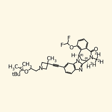 [2H]C([2H])([2H])N1C(=O)c2cccc(OC(F)F)c2[C@H]2C[C@@H]1c1nc3ccc(C#CC4(C)CN(CCO[Si](C)(C)C(C)(C)C)C4)cc3n12